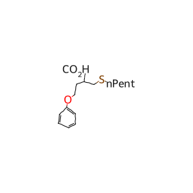 CCCCCSCC(CCOc1ccccc1)C(=O)O